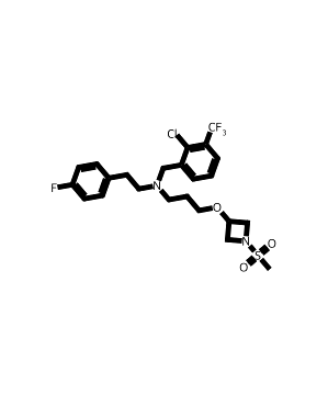 CS(=O)(=O)N1CC(OCCCN(CCc2ccc(F)cc2)Cc2cccc(C(F)(F)F)c2Cl)C1